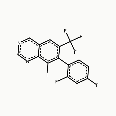 Fc1ccc(-c2c(C(F)(F)F)cc3cncnc3c2I)c(F)c1